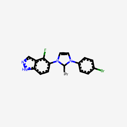 CC(C)C1N(c2ccc(Br)cc2)C=CN1c1ccc2[nH]ncc2c1F